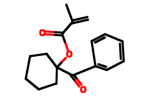 C=C(C)C(=O)OC1(C(=O)c2ccccc2)CCCCC1